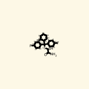 NC(=O)C(S)SC(c1ccc(F)cc1)(c1ccc(F)cc1)c1ccccc1F